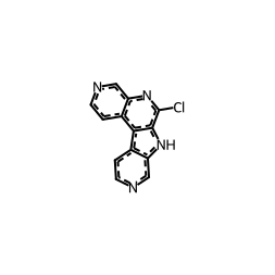 Clc1nc2cnccc2c2c1[nH]c1cnccc12